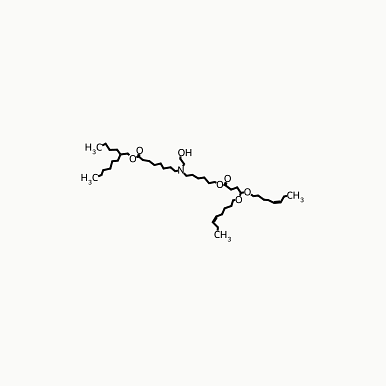 CC/C=C\CCCCOC(CCC(=O)OCCCCCCN(CCO)CCCCCCCC(=O)OCC(CCCC)CCCCCC)OCCCC/C=C\CC